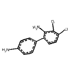 Nc1ccc(-c2ccc(Cl)c(Cl)c2N)cc1